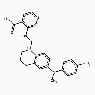 Cc1ccc(N(C)c2ccc3c(c2)CCC[C@H]3CNc2cnccc2C(=O)O)cc1